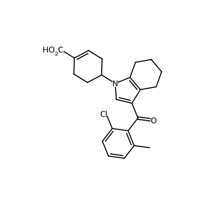 Cc1cccc(Cl)c1C(=O)c1cn(C2CC=C(C(=O)O)CC2)c2c1CCCC2